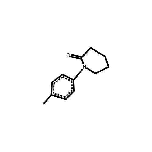 Cc1ccc(N2CCCCC2=O)cc1